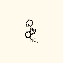 O=[N+]([O-])c1cccc2c1cnn2C1CCCCO1